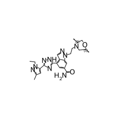 CCn1nc(C)cc1-c1n[nH]c(-c2cc(C(N)=O)cc3c2cnn3CCN2C[C@H](C)OC[C@@H]2C)n1